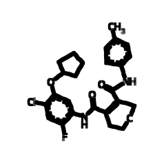 Cc1ccc(NC(=O)C2=C(C(=O)Nc3cc(OC4CCCC4)c(Cl)cc3F)CCCC2)cc1